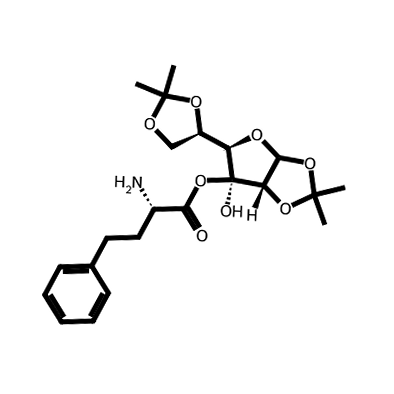 CC1(C)OC[C@H]([C@H]2OC3OC(C)(C)O[C@@H]3[C@@]2(O)OC(=O)[C@@H](N)CCc2ccccc2)O1